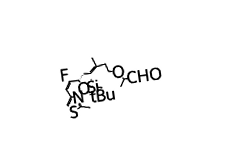 C/C(=C\C[C@H](O[Si](C)(C)C(C)(C)C)/C(F)=C\c1csc(C)n1)CCO[C@H](C)C=O